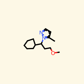 COCCC(C1CCCCC1)n1nccc1C